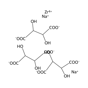 O=C([O-])C(O)C(O)C(=O)[O-].O=C([O-])C(O)C(O)C(=O)[O-].O=C([O-])C(O)C(O)C(=O)[O-].[Na+].[Na+].[Zr+4]